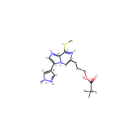 CSc1nc(CCCOC(=O)C(C)(C)C)cn2c(-c3cnn(C)c3)cnc12